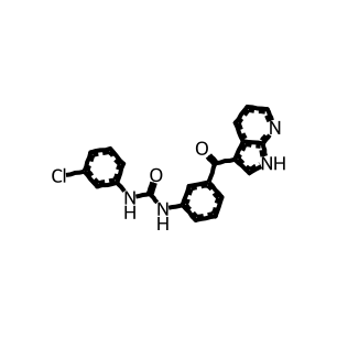 O=C(Nc1cccc(Cl)c1)Nc1cccc(C(=O)c2c[nH]c3ncccc23)c1